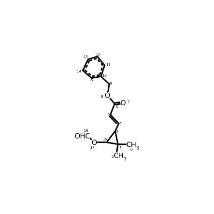 CC1(C)C(C=CC(=O)OCc2ccccc2)C1OC=O